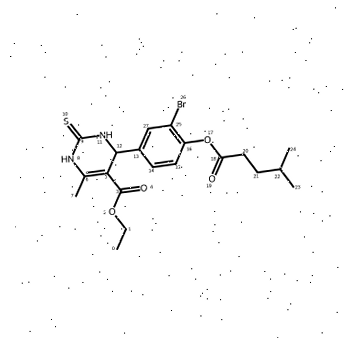 CCOC(=O)C1=C(C)NC(=S)NC1c1ccc(OC(=O)CCC(C)C)c(Br)c1